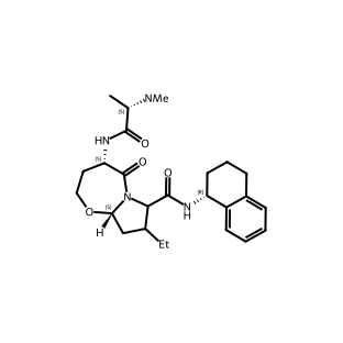 CCC1C[C@@H]2OCC[C@H](NC(=O)[C@H](C)NC)C(=O)N2C1C(=O)N[C@@H]1CCCc2ccccc21